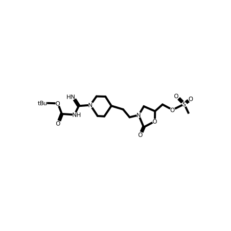 CC(C)(C)OC(=O)NC(=N)N1CCC(CCN2CC(COS(C)(=O)=O)OC2=O)CC1